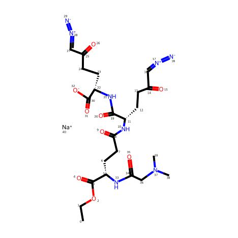 CCOC(=O)[C@H](CCC(=O)N[C@@H](CCC(=O)C=[N+]=[N-])C(=O)N[C@@H](CCC(=O)C=[N+]=[N-])C(=O)[O-])NC(=O)CN(C)C.[Na+]